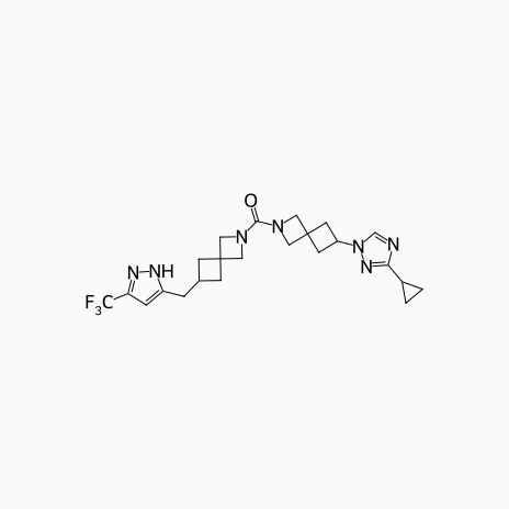 O=C(N1CC2(CC(Cc3cc(C(F)(F)F)n[nH]3)C2)C1)N1CC2(CC(n3cnc(C4CC4)n3)C2)C1